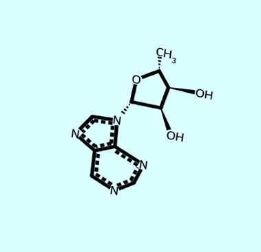 C[C@H]1O[C@@H](n2cnc3cncnc32)[C@H](O)[C@@H]1O